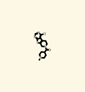 CN1CCC(C(=O)N2CCc3c(sc4ncnc(Cl)c34)C2)CC1